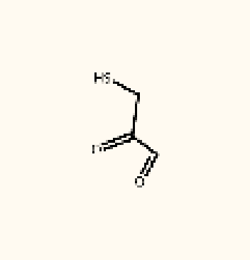 O=CC(=O)CS